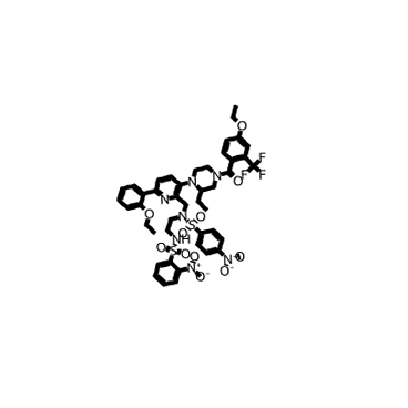 CCOc1ccc(C(=O)N2CCN(c3ccc(-c4ccccc4OCC)nc3CN(CCNS(=O)(=O)c3ccccc3[N+](=O)[O-])S(=O)(=O)c3ccc([N+](=O)[O-])cc3)C(CC)C2)c(C(F)(F)F)c1